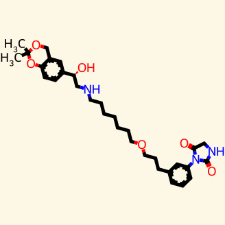 CC1(C)OCc2cc([C@H](O)CNCCCCCCCOCCCc3cccc(N4C(=O)CNC4=O)c3)ccc2O1